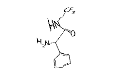 NC(C(=O)NCC(F)(F)F)c1ccccc1